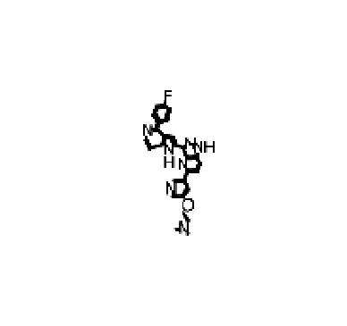 CN(C)CCOc1cncc(-c2ccc3[nH]nc(-c4cc5c(-c6ccc(F)cc6)nccc5[nH]4)c3n2)c1